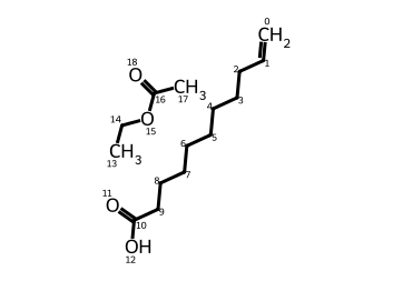 C=CCCCCCCCCC(=O)O.CCOC(C)=O